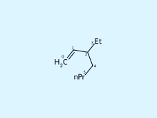 C=CC(CC)CCCC